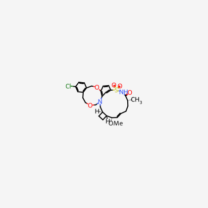 CO[C@H]1/C=C/CC[C@@H](C)C(=O)NS(=O)(=O)c2ccc3c(c2)N(COCCc2cc(Cl)ccc2CO3)C[C@@H]2CC[C@H]21